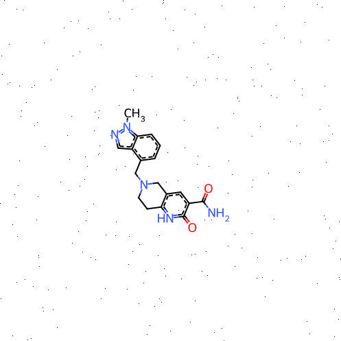 Cn1ncc2c(CN3CCc4[nH]c(=O)c(C(N)=O)cc4C3)cccc21